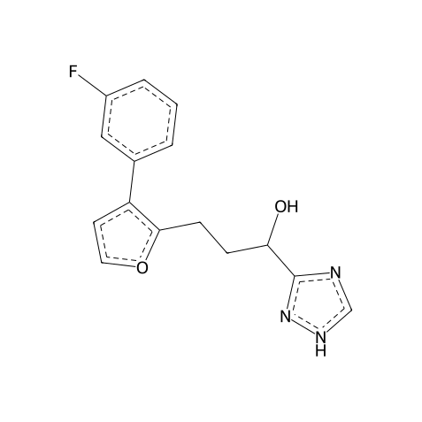 OC(CCc1occc1-c1cccc(F)c1)c1nc[nH]n1